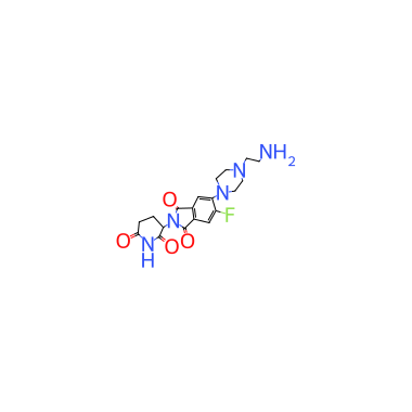 NCCN1CCN(c2cc3c(cc2F)C(=O)N(C2CCC(=O)NC2=O)C3=O)CC1